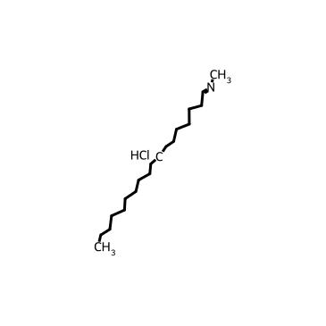 CCCCCCCCCCCCCCCCCC=NC.Cl